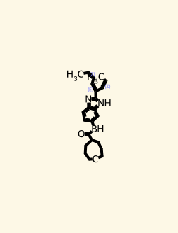 C\C=C/C=C(\C=C/C)c1nc2ccc(BC(=O)C3CCCCCCC3)cc2[nH]1